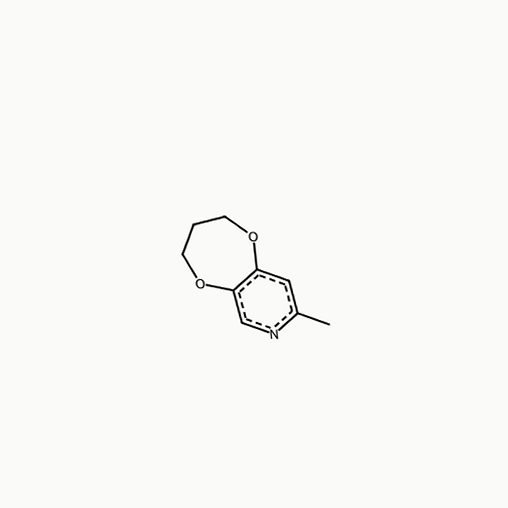 Cc1cc2c(cn1)OCCCO2